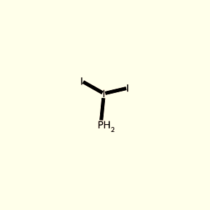 PI(I)I